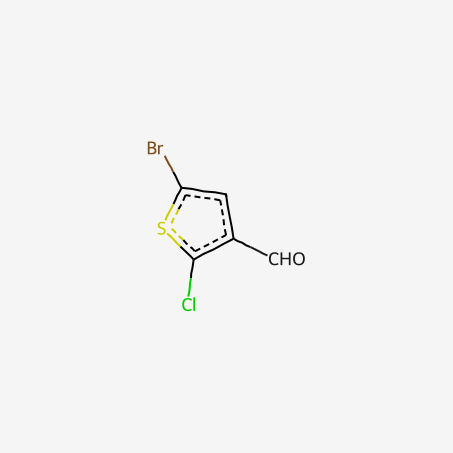 O=Cc1cc(Br)sc1Cl